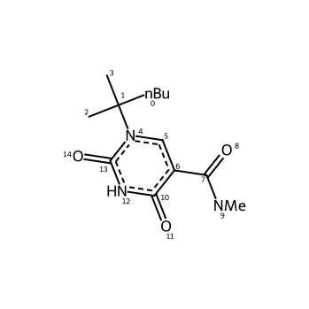 CCCCC(C)(C)n1cc(C(=O)NC)c(=O)[nH]c1=O